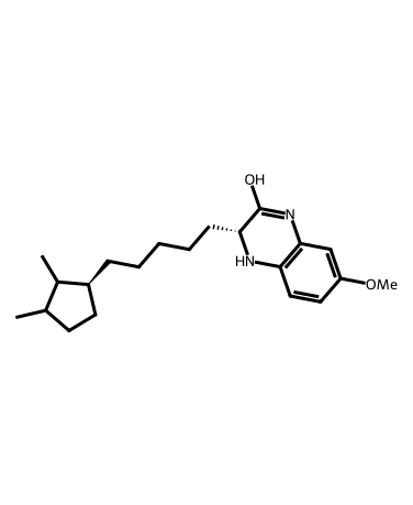 COc1ccc2c(c1)N=C(O)[C@@H](CCCCC[C@H]1CCC(C)C1C)N2